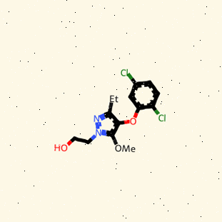 CCc1nn(CCO)c(OC)c1Oc1cc(Cl)ccc1Cl